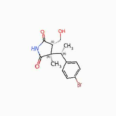 C[C@H](c1ccc(Br)cc1)[C@@]1(C)C(=O)NC(=O)[C@@H]1CO